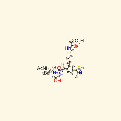 CC(=O)N[C@H](C(=O)N1C[C@H](O)C[C@H]1C(=O)N[C@@H](C)c1ccc(-c2scnc2C)cc1OCCCCCNC(=O)CC(=O)O)C(C)(C)C